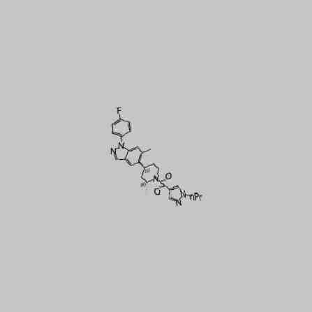 CCCn1cc(S(=O)(=O)N2CC[C@H](c3cc4cnn(-c5ccc(F)cc5)c4cc3C)C[C@H]2C)cn1